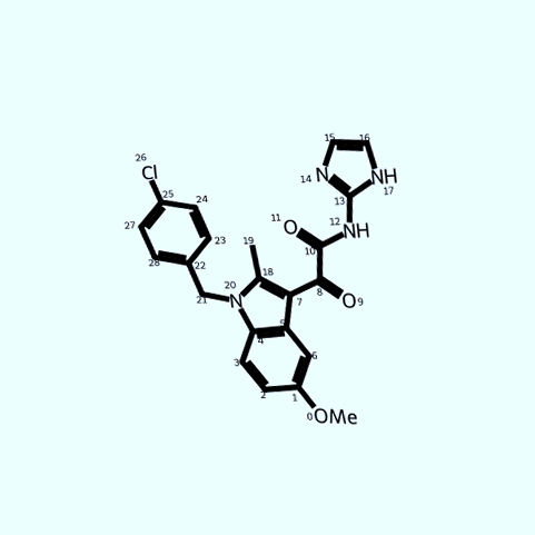 COc1ccc2c(c1)c(C(=O)C(=O)Nc1ncc[nH]1)c(C)n2Cc1ccc(Cl)cc1